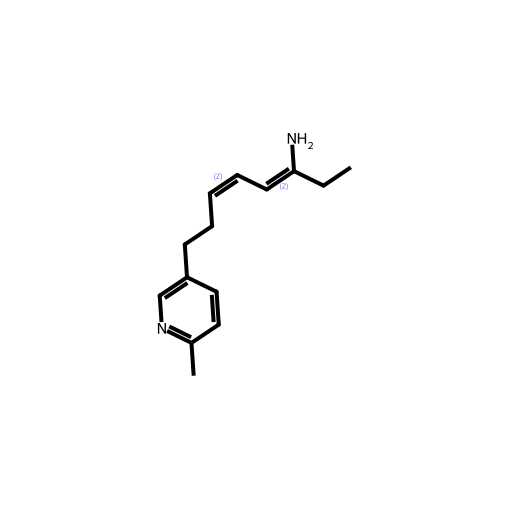 CC/C(N)=C/C=C\CCc1ccc(C)nc1